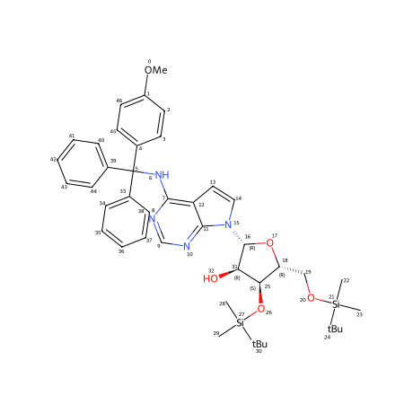 COc1ccc(C(Nc2ncnc3c2ccn3[C@@H]2O[C@H](CO[Si](C)(C)C(C)(C)C)[C@@H](O[Si](C)(C)C(C)(C)C)[C@H]2O)(c2ccccc2)c2ccccc2)cc1